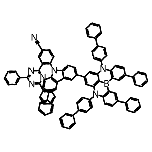 N#Cc1ccc(-n2c3ccc(-c4ccccc4)cc3c3cc(-c4cc5c6c(c4)N(c4ccc(-c7ccccc7)cc4)c4ccc(-c7ccccc7)cc4B6c4cc(-c6ccccc6)ccc4N5c4ccc(-c5ccccc5)cc4)ccc32)c(-c2nc(-c3ccccc3)nc(-c3ccccc3)n2)c1